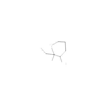 CCC1(C)[N]CCCC1O